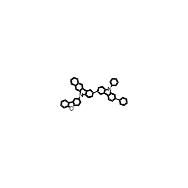 c1ccc(-c2ccc3c4cc(-c5ccc6c(c5)c5cc7ccccc7cc5n6-c5ccc6oc7ccccc7c6c5)ccc4n(-c4ccccc4)c3c2)cc1